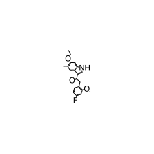 CCOc1cc2[nH]cc(C(=O)Cc3ccc(F)cc3OC)c2cc1C